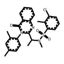 Cc1ccc(-n2c(C(C)N(C)S(=O)(=O)c3cccc(Cl)c3C)nc3ccccc3c2=O)c(C)c1